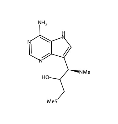 CN[C@H](c1c[nH]c2c(N)ncnc12)C(O)CSC